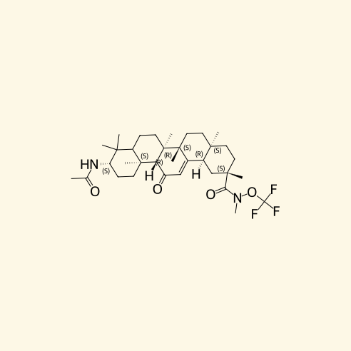 CC(=O)N[C@H]1CC[C@@]2(C)C(CC[C@]3(C)[C@@H]2C(=O)C=C2[C@@H]4C[C@@](C)(C(=O)N(C)OC(F)(F)F)CC[C@]4(C)CC[C@]23C)C1(C)C